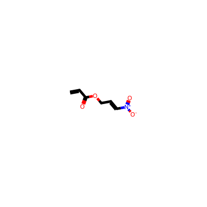 C=CC(=O)OCC=C[N+](=O)[O-]